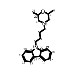 CC1CN(CCCCn2c3ccccc3c3ccccc32)CC(C)O1